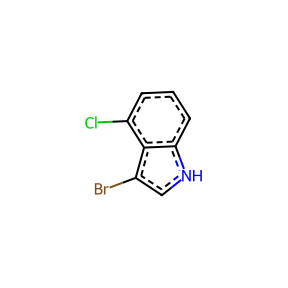 Clc1cccc2[nH]cc(Br)c12